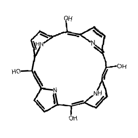 Oc1c2nc(c(O)c3ccc([nH]3)c(O)c3nc(c(O)c4ccc1[nH]4)C=C3)C=C2